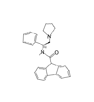 CN(C(=O)C1c2ccccc2-c2ccccc21)[C@H](CN1CCCC1)c1ccccc1